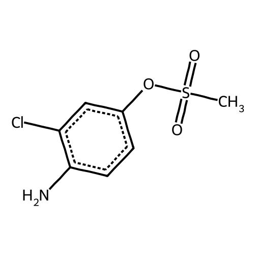 CS(=O)(=O)Oc1ccc(N)c(Cl)c1